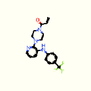 C=CC(=O)N1CCN(c2ncccc2Nc2ccc(C(F)(F)F)cc2)CC1